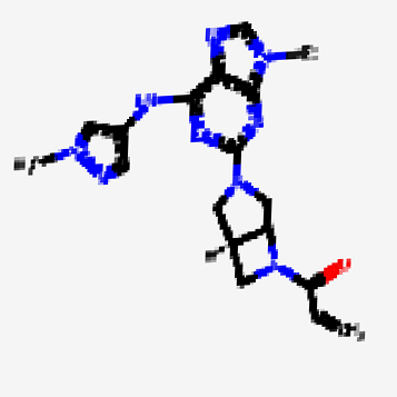 C=CC(=O)N1C[C@H]2CN(c3nc(Nc4cnn(C)c4)c4ncn(CC)c4n3)CC21